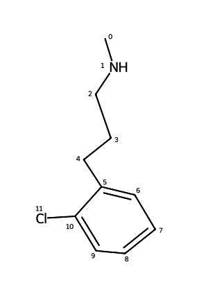 CNCCCc1ccccc1Cl